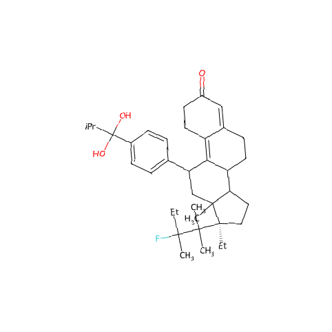 CCC(C)(F)C(C)(C)[C@]1(CC)CCC2C3CCC4=CC(=O)CCC4=C3C(c3ccc(C(O)(O)C(C)C)cc3)CC21C